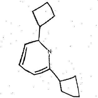 C1=CC(C2CCC2)[N]C(C2CCC2)=C1